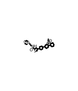 CCS(=O)(=O)c1ccccc1-c1ccc(-c2ccc(-c3csc(C(=O)NCCN4CCOCC4)c3)cc2)cc1